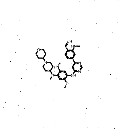 CNc1cc(-c2cc(Nc3cc(NC)c(N(C)C4CCN(C5CCOCC5)CC4)cc3OC)ncn2)ccc1C=N